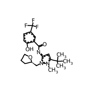 Cn1c(C(C)(C)C)cc(=NC(=O)c2cc(C(F)(F)F)ccc2O)n1C[C@H]1CCCO1